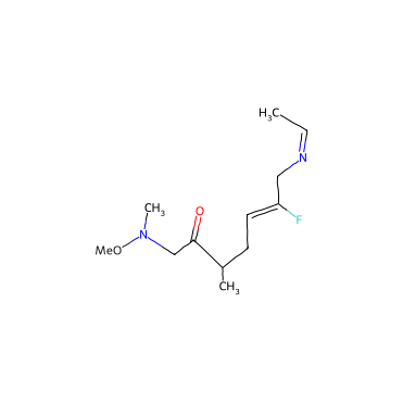 C/C=N\CC(F)=CCC(C)C(=O)CN(C)OC